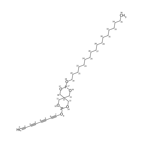 C#CC#CC#CC#COP1OCC2(CO1)COP(OCCCCCCCCCCCCCCCCCC)OC2